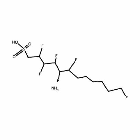 N.O=S(=O)(O)CC(F)C(F)C(F)C(F)C(F)CCCCCCF